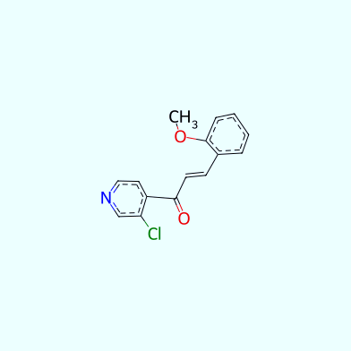 COc1ccccc1C=CC(=O)c1ccncc1Cl